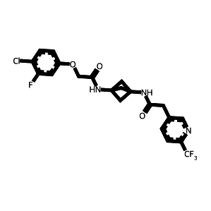 O=C(COc1ccc(Cl)c(F)c1)NC12CC(NC(=O)Cc3ccc(C(F)(F)F)nc3)(C1)C2